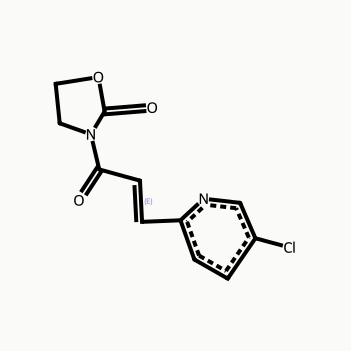 O=C(/C=C/c1ccc(Cl)cn1)N1CCOC1=O